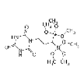 CO[Si](OC)(OC)C(CCn1c(=O)[nH]c(=O)[nH]c1=O)[Si](OC)(OC)OC